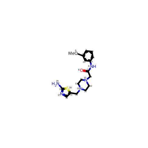 COc1cccc(NC(=O)CN2CCN(Cc3cnc(N)s3)CC2)c1